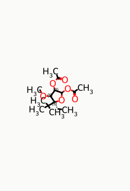 CC[C@@]1(C(C)(C)C)OC(OC(C)=O)[C@H](OC(C)=O)[C@@H]1OC